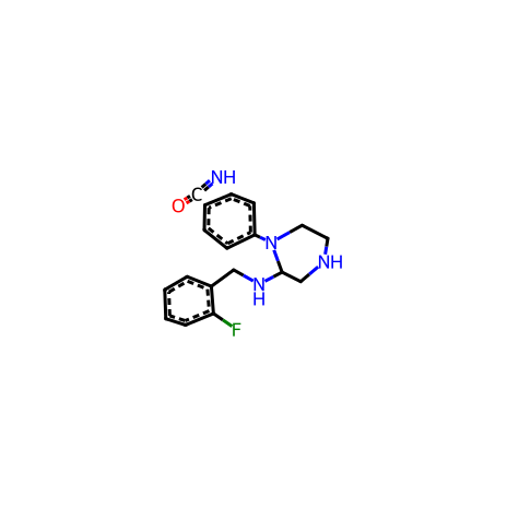 Fc1ccccc1CNC1CNCCN1c1ccccc1.N=C=O